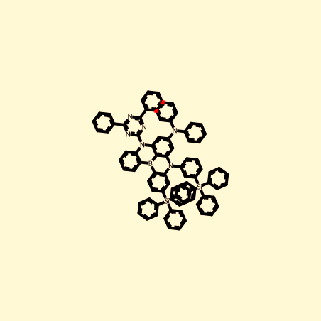 c1ccc(-c2nc(-c3ccccc3)nc(N3c4ccccc4B4c5ccc([Si](c6ccccc6)(c6ccccc6)c6ccccc6)cc5N(c5cccc([Si](c6ccccc6)(c6ccccc6)c6ccccc6)c5)c5cc(N(c6ccccc6)c6ccccc6)cc3c54)n2)cc1